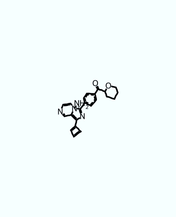 N[N+]12C=CN=CC1=C(C1=CC=C1)N=C2c1ccc(C(=O)C2CCCCO2)cc1